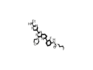 CCNc1ncc(-c2nc(N3CCOCC3)c3nc(-c4cccc(N[S+]([O-])CCCF)c4F)ccc3n2)cn1